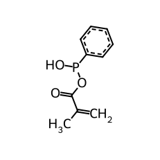 C=C(C)C(=O)OP(O)c1ccccc1